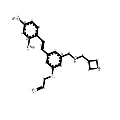 C=CCOc1cc(/C=C/c2ccc(OC)cc2OC)cc(CNCC2CNC2)c1